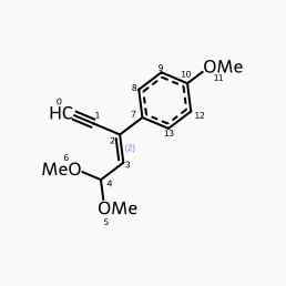 C#C/C(=C\C(OC)OC)c1ccc(OC)cc1